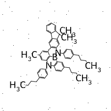 CCCCc1ccc(N2B3c4cc(CCCC)ccc4N(c4ccc(CCCC)cc4)c4cc(C)cc(c43)-c3cc4c(cc32)C(C)(C)c2ccccc2-4)cc1